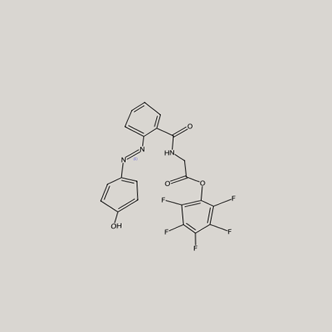 O=C(CNC(=O)c1ccccc1/N=N/c1ccc(O)cc1)Oc1c(F)c(F)c(F)c(F)c1F